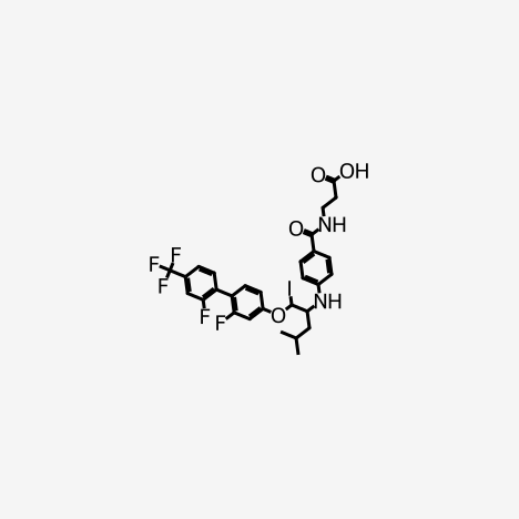 CC(C)CC(Nc1ccc(C(=O)NCCC(=O)O)cc1)C(I)Oc1ccc(-c2ccc(C(F)(F)F)cc2F)c(F)c1